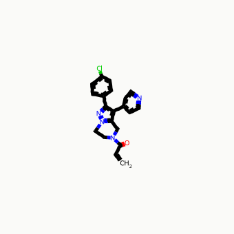 C=CC(=O)N1CCn2nc(-c3ccc(Cl)cc3)c(-c3ccncc3)c2C1